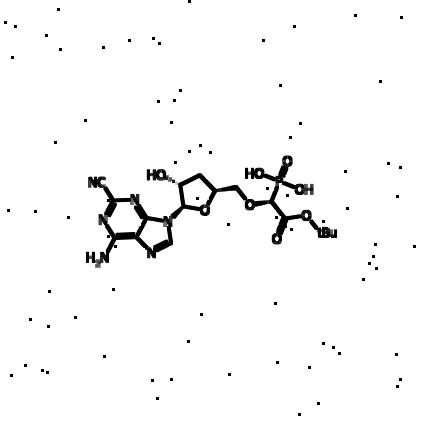 CC(C)(C)OC(=O)[C@@H](OC[C@@H]1C[C@@H](O)[C@H](n2cnc3c(N)nc(C#N)nc32)O1)P(=O)(O)O